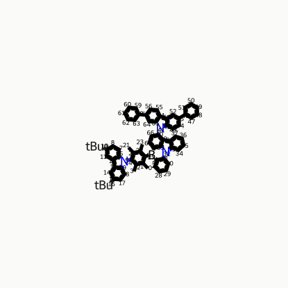 Cc1c(C)c(-n2c3ccc(C(C)(C)C)cc3c3cc(C(C)(C)C)ccc32)c(C)c(C)c1B1c2ccccc2-n2c3ccccc3c3c(-n4c5ccc(-c6ccccc6)cc5c5ccc(-c6ccccc6)cc54)ccc1c32